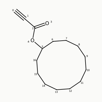 C#CC(=O)OC1CCCCCCCCCCC1